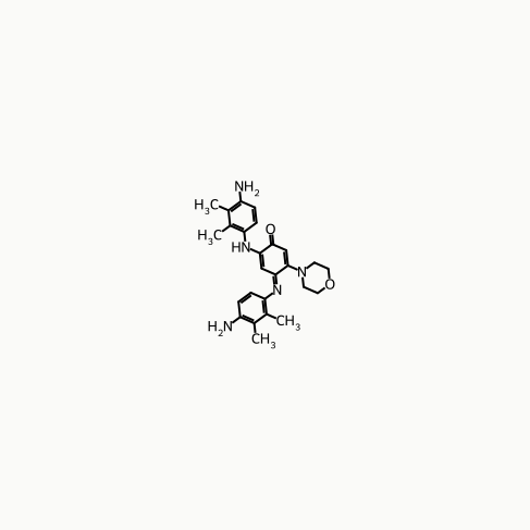 Cc1c(N)ccc(/N=C2\C=C(Nc3ccc(N)c(C)c3C)C(=O)C=C2N2CCOCC2)c1C